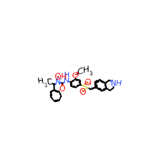 COc1cc(S(=O)(=O)Cc2ccc3c(c2)CCNC3)ccc1NC(=O)N(O)C(C)C1=CCC=CC=C1